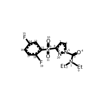 CCN(CC)C(=O)n1ccc(S(=O)(=O)c2cc(F)ccc2F)n1